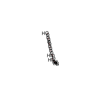 O=C(CCCC(=O)Nc1ccc(-c2nnc(-c3ccccn3)nn2)nc1)NCCOCCOCCOCCOCCOCCOCCOCCOCCOCCO